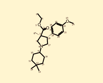 CCOC(=O)[C@]1(C)CN(C2CCC(C)(C)CC2)C[C@H]1c1ccc(OC)cc1